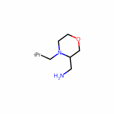 C[C](C)CN1CCOCC1CN